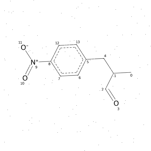 CC(C=O)Cc1ccc([N+](=O)[O-])cc1